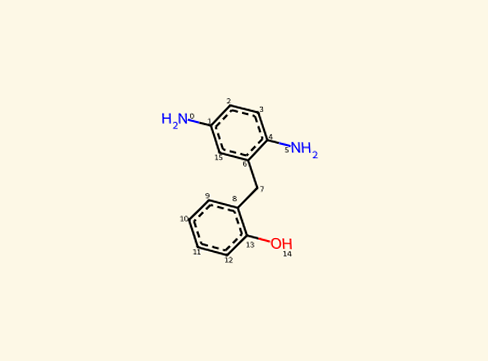 Nc1ccc(N)c(Cc2ccccc2O)c1